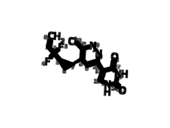 C=CC(F)(F)C1C[C@@H]1c1cc(-c2c[nH]c(=O)[nH]c2=O)nnc1Cl